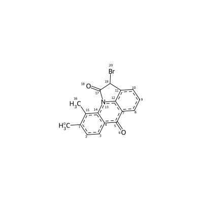 Cc1ccc2c(=O)c3cccc4c3n(c2c1C)C(=O)C4Br